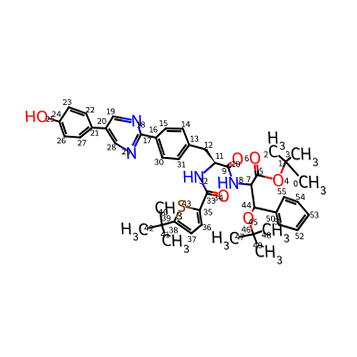 CC(C)(C)OC(=O)C(NC(=O)[C@H](Cc1ccc(-c2ncc(-c3ccc(O)cc3)cn2)cc1)NC(=O)c1ccc(C(C)(C)C)s1)C(OC(C)(C)C)c1ccccc1